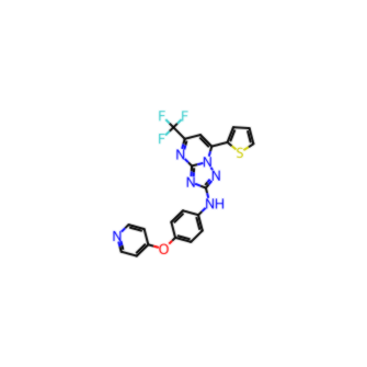 FC(F)(F)c1cc(-c2cccs2)n2nc(Nc3ccc(Oc4ccncc4)cc3)nc2n1